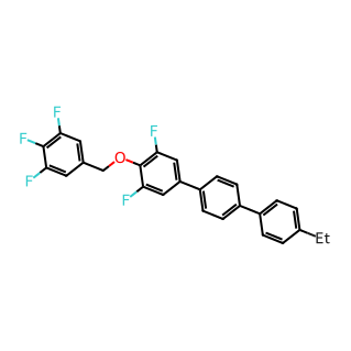 CCc1ccc(-c2ccc(-c3cc(F)c(OCc4cc(F)c(F)c(F)c4)c(F)c3)cc2)cc1